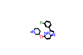 CN1CCCC(Oc2ccc3ncc(-c4cccc(F)c4)n3n2)C1